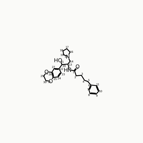 O=C(CCCCc1ccccc1)NC(CN1CCCC1)C(O)c1ccc2c(c1)OCCO2